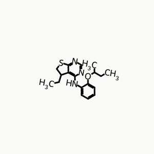 CCC(C)Oc1ccccc1Nc1ncnc2c1C(CC)CS2